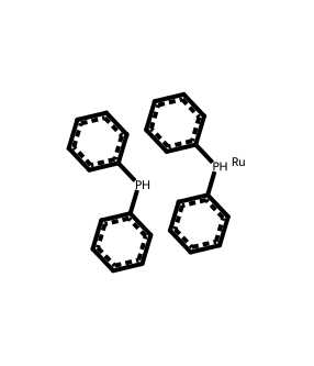 [Ru].c1ccc(Pc2ccccc2)cc1.c1ccc(Pc2ccccc2)cc1